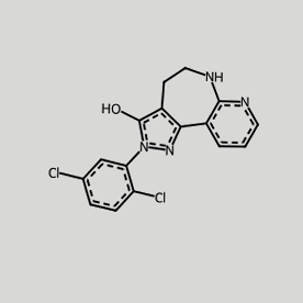 Oc1c2c(nn1-c1cc(Cl)ccc1Cl)-c1cccnc1NCC2